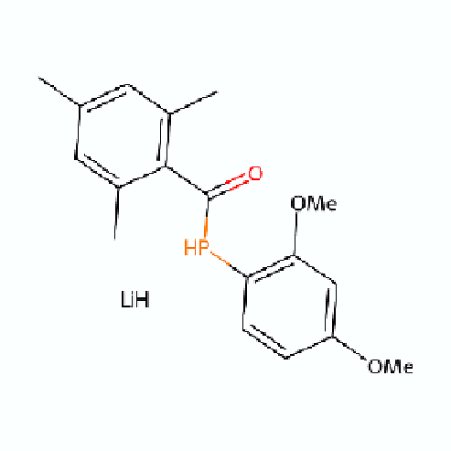 COc1ccc(PC(=O)c2c(C)cc(C)cc2C)c(OC)c1.[LiH]